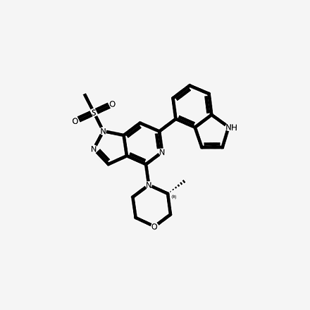 C[C@@H]1COCCN1c1nc(-c2cccc3[nH]ccc23)cc2c1cnn2S(C)(=O)=O